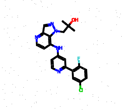 CC(C)(O)Cn1ncc2nccc(Nc3ccnc(-c4cc(Cl)ccc4F)c3)c21